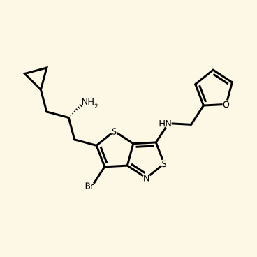 N[C@H](Cc1sc2c(NCc3ccco3)snc2c1Br)CC1CC1